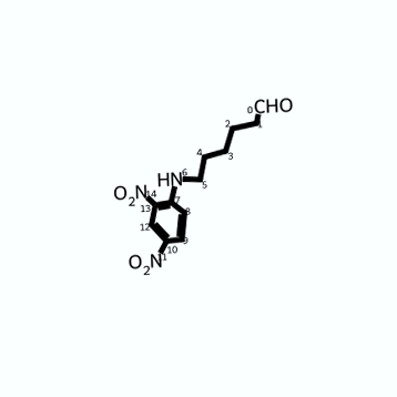 O=CCCCCCNc1ccc([N+](=O)[O-])cc1[N+](=O)[O-]